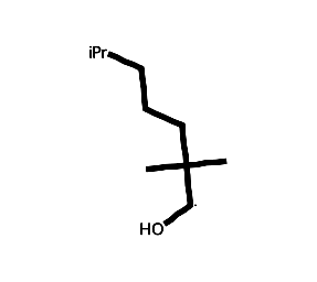 CC(C)CCCC(C)(C)[CH]O